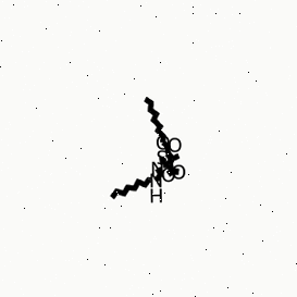 CCCCCCCCNc1nc2sc(C(=O)OCCCCCCCC)c(C)c2c(=O)o1